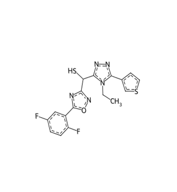 CCn1c(-c2ccsc2)nnc1C(S)c1noc(-c2cc(F)ccc2F)n1